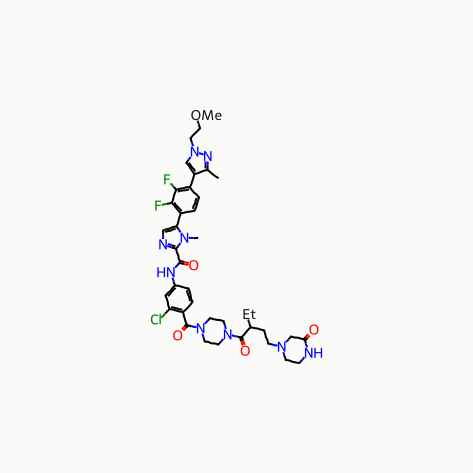 CCC(CCN1CCNC(=O)C1)C(=O)N1CCN(C(=O)c2ccc(NC(=O)c3ncc(-c4ccc(-c5cn(CCOC)nc5C)c(F)c4F)n3C)cc2Cl)CC1